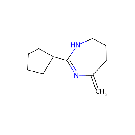 C=C1CCCNC(C2CCCC2)=N1